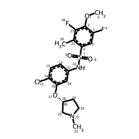 COc1c(F)cc(S(=O)(=O)Nc2ccc(Cl)c(O[C@@H]3CCN(C)C3)c2)c(C)c1F